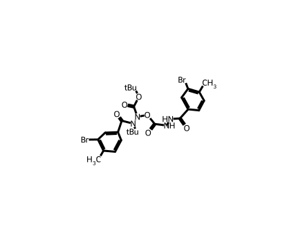 Cc1ccc(C(=O)NNC(=O)ON(C(=O)OC(C)(C)C)N(C(=O)c2ccc(C)c(Br)c2)C(C)(C)C)cc1Br